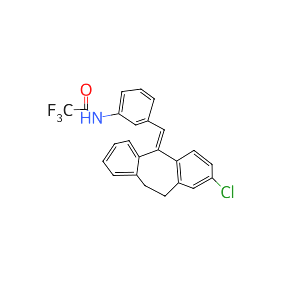 O=C(Nc1cccc(/C=C2\c3ccccc3CCc3cc(Cl)ccc32)c1)C(F)(F)F